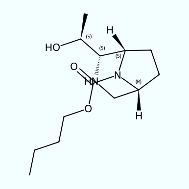 CCCCOC(=O)N1[C@@H]2CC[C@H]1[C@@H]([C@H](C)O)NC2